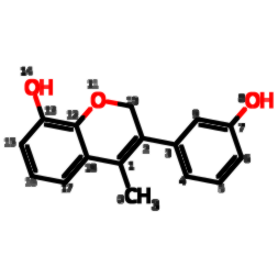 CC1=C(c2cccc(O)c2)COc2c(O)cccc21